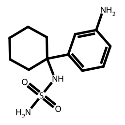 Nc1cccc(C2(NS(N)(=O)=O)CCCCC2)c1